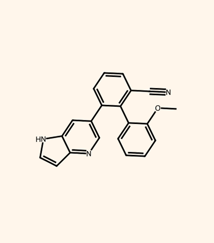 COc1ccccc1-c1c(C#N)cccc1-c1cnc2cc[nH]c2c1